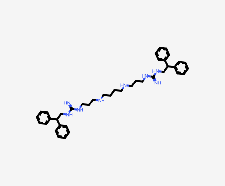 N=C(NCCCNCCCCNCCCNC(=N)NCC(c1ccccc1)c1ccccc1)NCC(c1ccccc1)c1ccccc1